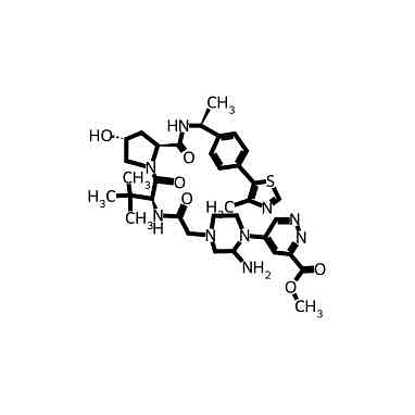 COC(=O)c1cc(N2CCN(CC(=O)N[C@H](C(=O)N3C[C@H](O)C[C@H]3C(=O)N[C@@H](C)c3ccc(-c4scnc4C)cc3)C(C)(C)C)CC2N)cnn1